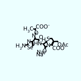 CC(=O)OCC1=C(C(=O)[O-])N2C(=O)[C@@H](NC(=O)/C(=N\OC(C)C(=O)[O-])c3c[se]c(N)n3)[C@H]2SC1.[Na+].[Na+]